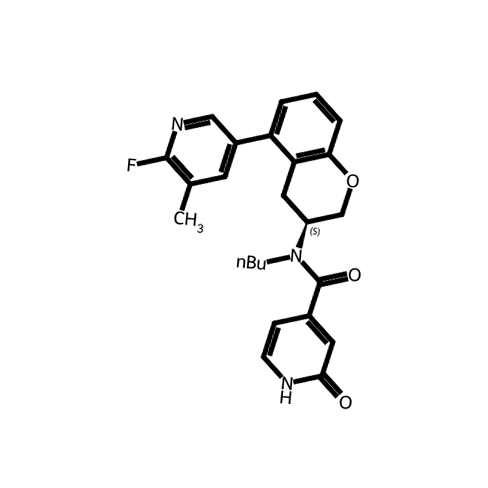 CCCCN(C(=O)c1cc[nH]c(=O)c1)[C@@H]1COc2cccc(-c3cnc(F)c(C)c3)c2C1